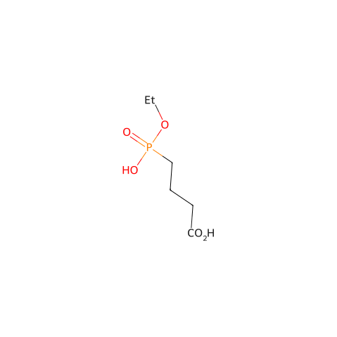 CCOP(=O)(O)CCCC(=O)O